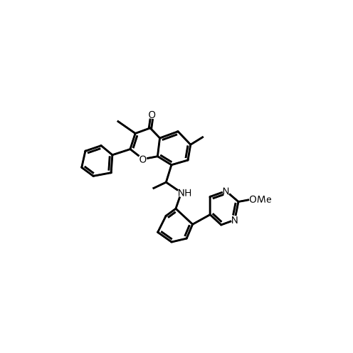 COc1ncc(-c2ccccc2NC(C)c2cc(C)cc3c(=O)c(C)c(-c4ccccc4)oc23)cn1